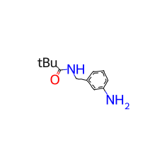 CC(C)(C)C(=O)NCc1cccc(N)c1